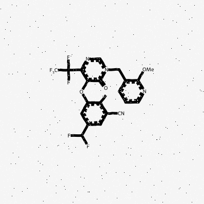 COc1ncccc1Cn1cnc(C(F)(F)C(F)(F)F)c(Oc2cc(C(F)F)cc(C#N)c2C)c1=O